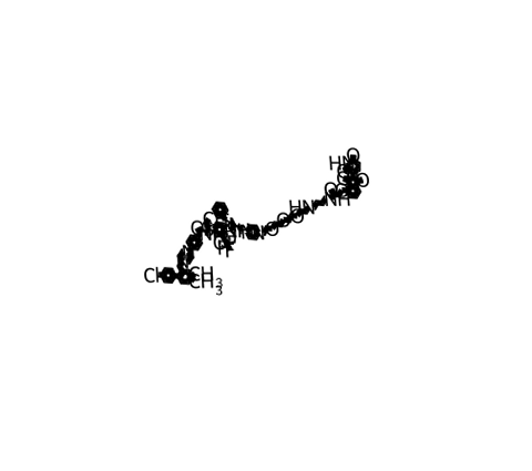 C/C=S(/NC(=O)c1ccc(N2CCN(CC3=C(c4ccc(Cl)cc4)CCC(C)(C)C3)CC2)cc1)c1ccc(N[C@H](CCN2CCN(CCOCCOCCOCCNCCCCNC(=O)COc3cccc4c3C(=O)N(C3CCC(=O)NC3=O)C4=O)CC2)CSc2ccccc2)c(S(=O)(=O)C(F)(F)F)c1